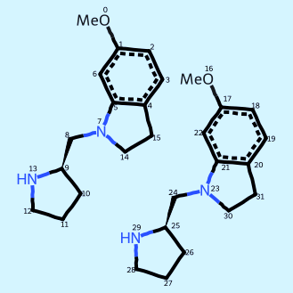 COc1ccc2c(c1)N(C[C@H]1CCCN1)CC2.COc1ccc2c(c1)N(C[C@H]1CCCN1)CC2